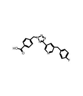 O=C(O)c1ccc(Cn2nnc(-c3cncc(Cc4ccc(F)cc4)c3)n2)cc1